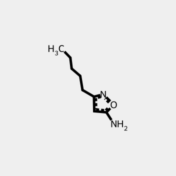 CCCCCc1cc(N)on1